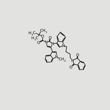 Cn1cc(-c2cn(C(=O)OC(C)(C)C)c(=O)n2-c2cn(CCCCN3C(=O)c4ccccc4C3=O)c3ccccc23)c2ccccc21